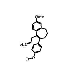 C=CCC1=C(c2ccc(OCC)cc2)CCCc2cc(OC)ccc21